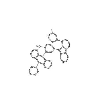 Cc1cccc(-c2cccc3c4ccncc4n(-c4ccc(C#N)c(-c5c6ccccc6c(-c6ccccc6)c6ccccc56)c4)c23)c1